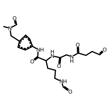 CN(C=O)Cc1ccc(NC(=O)C(CCCNC=O)NC(=O)CNC(=O)CCC=O)cc1